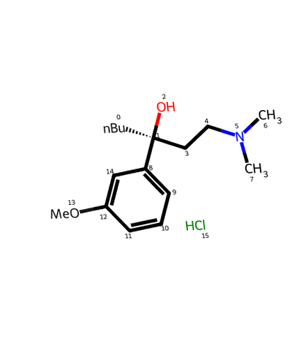 CCCC[C@](O)(CCN(C)C)c1cccc(OC)c1.Cl